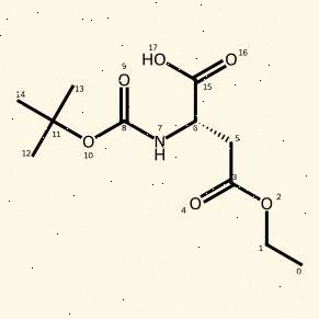 CCOC(=O)C[C@H](NC(=O)OC(C)(C)C)C(=O)O